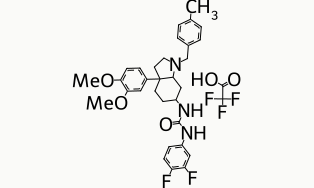 COc1ccc(C23CCC(NC(=O)Nc4ccc(F)c(F)c4)CC2N(Cc2ccc(C)cc2)CC3)cc1OC.O=C(O)C(F)(F)F